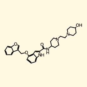 O=C(NC1CCN(CCN2CCC(O)CC2)CC1)c1cc2c(OCc3coc4ccccc34)cccc2[nH]1